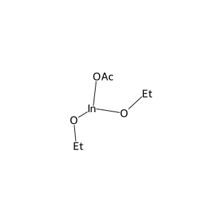 CC[O][In]([O]CC)[O]C(C)=O